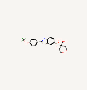 O=C(O)C1(S(=O)(=O)c2ccc3nc(-c4ccc(OC(F)(F)F)cc4)sc3c2)CCOCC1